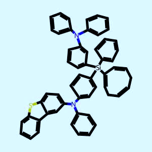 C1=C\C/C=C([Si](c2ccccc2)(c2ccc(N(c3ccccc3)c3ccc4sc5ccccc5c4c3)cc2)c2cccc(N(c3ccccc3)c3ccccc3)c2)\C=C/C/1